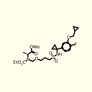 CCOC(=O)N(COCCCS(=O)(=O)NC1(c2ccc(F)c(OCC3CC3)c2)CC1)[C@@H](C)C(=O)OC